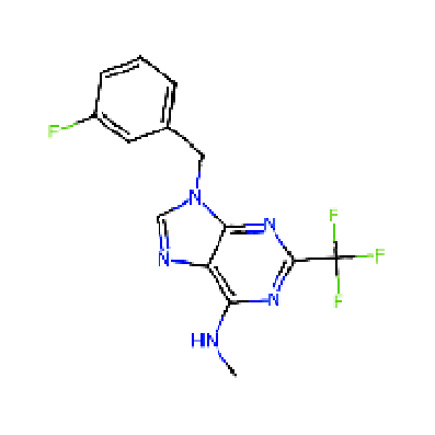 CNc1nc(C(F)(F)F)nc2c1ncn2Cc1cccc(F)c1